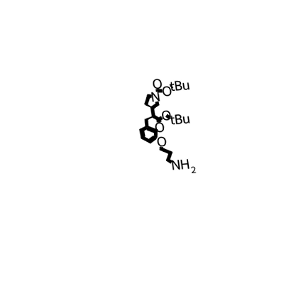 CC(C)(C)OC(=O)[C@@H](Cc1cccc(OCCCN)c1)[C@H]1CCN(C(=O)OC(C)(C)C)C1